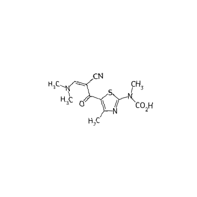 Cc1nc(N(C)C(=O)O)sc1C(=O)/C(C#N)=C\N(C)C